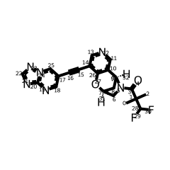 CC(C)(C(=O)N1C[C@@H]2C[C@H]1c1cncc(C#Cc3cnc4ncnn4c3)c1O2)C(F)F